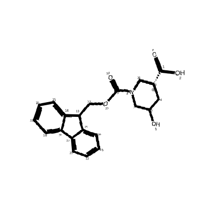 O=C(O)[C@@H]1CC(O)CN(C(=O)OCC2c3ccccc3-c3ccccc32)C1